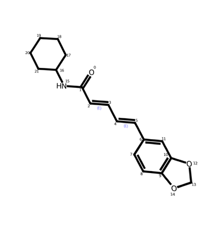 O=C(/C=C/C=C/c1ccc2c(c1)OCO2)NC1CCCCC1